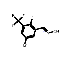 O/N=C/c1cc(Br)cc(C(F)(F)F)c1F